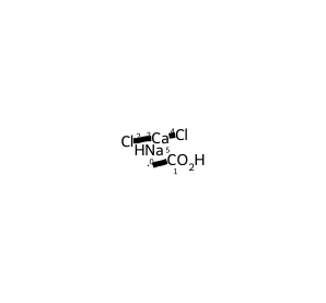 [CH2]C(=O)O.[Cl][Ca][Cl].[NaH]